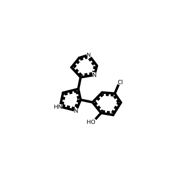 Oc1ccc(Cl)cc1-c1n[nH]cc1-c1ccncn1